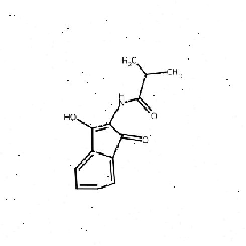 CC(C)C(=O)NC1=C(O)c2ccccc2C1=O